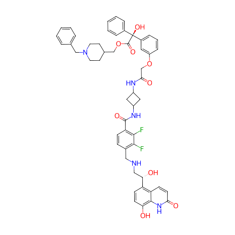 O=C(COc1cccc([C@](O)(C(=O)OCC2CCN(Cc3ccccc3)CC2)c2ccccc2)c1)NC1CC(NC(=O)c2ccc(CNC[C@H](O)c3ccc(O)c4[nH]c(=O)ccc34)c(F)c2F)C1